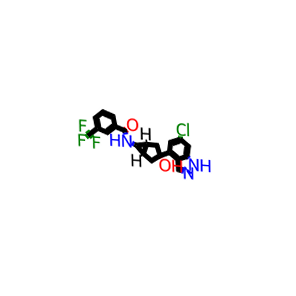 O=C(NC1[C@H]2CC(O)(c3cc(Cl)cc4[nH]ncc34)C[C@@H]12)c1cccc(C(F)(F)F)c1